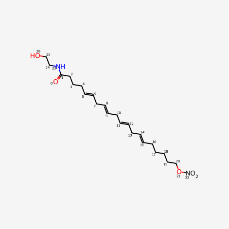 O=C(CCCC=CCC=CCC=CCC=CCCCCCO[N+](=O)[O-])NCCO